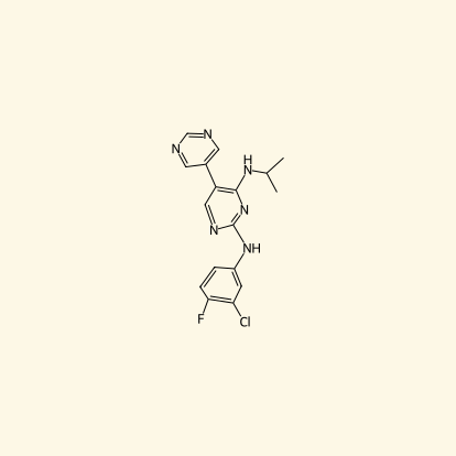 CC(C)Nc1nc(Nc2ccc(F)c(Cl)c2)ncc1-c1cncnc1